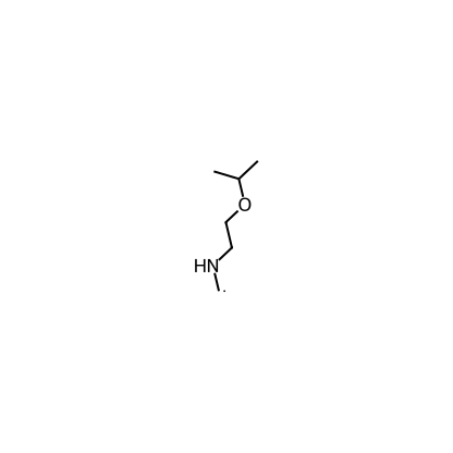 [CH2]NCCOC(C)C